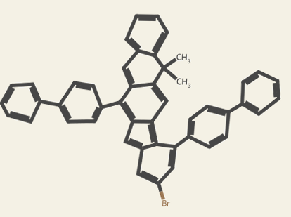 CC1(C)c2ccccc2C=c2c1cc1c(c2-c2ccc(-c3ccccc3)cc2)C=c2cc(Br)cc(-c3ccc(-c4ccccc4)cc3)c2=1